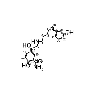 CN(CCCCNCC(O)c1ccc(O)c(C(N)=O)c1)c1cccc(O)c1